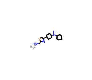 CNCc1nc(-c2ccc(Nc3ccccc3)cc2)cs1